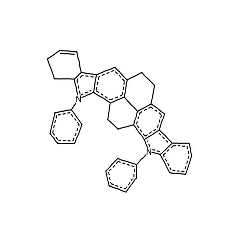 C1=Cc2c(n(-c3ccccc3)c3c4c5c(cc23)CCc2cc3c6ccccc6n(-c6ccccc6)c3c(c2-5)CC4)CC1